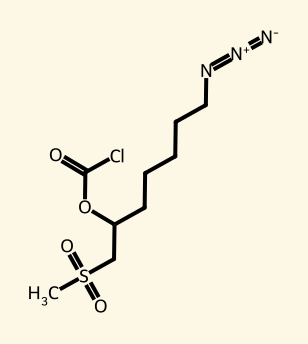 CS(=O)(=O)CC(CCCCCN=[N+]=[N-])OC(=O)Cl